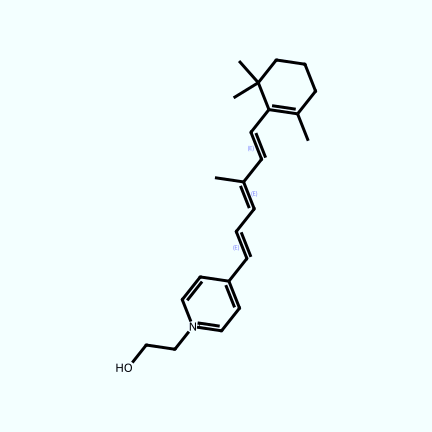 CC1=C(/C=C/C(C)=C/C=C/c2cc[n+](CCO)cc2)C(C)(C)CCC1